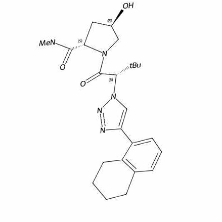 CNC(=O)[C@@H]1C[C@@H](O)CN1C(=O)[C@@H](n1cc(-c2cccc3c2CCCC3)nn1)C(C)(C)C